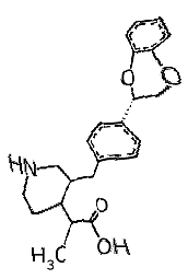 CC(C(=O)O)C1CCNCC1Cc1ccc([C@H]2COc3ccccc3O2)cc1